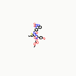 CCOC(=O)CON=C(Cn1c(=O)c2cc(CC)sc2n(Cc2ccc(-c3ccccc3-c3noc(=O)[nH]3)cc2)c1=O)c1ccc(OC)cc1